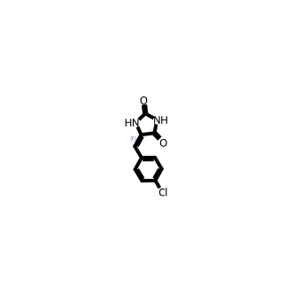 O=C1NC(=O)/C(=C\c2ccc(Cl)cc2)N1